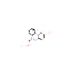 CC(C)(C)OC(=O)N(CC1=CC=C(O)C(O)(C(F)(F)F)C1)c1ccccc1